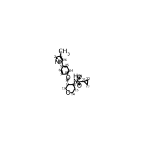 Cc1cnn(-c2ccc(OC[C@H]3COCC[C@@H]3NS(=O)(=O)C3CC3)cc2)c1